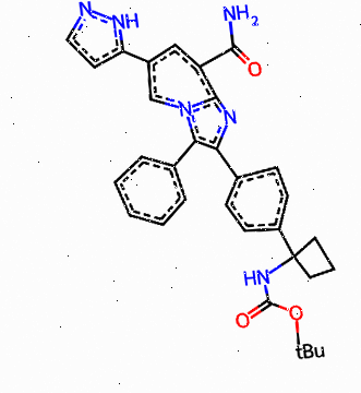 CC(C)(C)OC(=O)NC1(c2ccc(-c3nc4c(C(N)=O)cc(-c5ccn[nH]5)cn4c3-c3ccccc3)cc2)CCC1